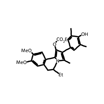 CCOC(=O)Oc1c(-c2cc(C)c(O)c(C)c2)c(C)n2c1-c1cc(OC)c(OC)cc1CC2CC